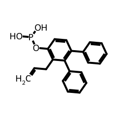 C=CCc1c(OP(O)O)ccc(-c2ccccc2)c1-c1ccccc1